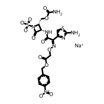 NC(=O)OC[C@@H]1[C@H](NC(=O)/C(=N\OCC(=O)OCc2ccc([N+](=O)[O-])cc2)c2csc(N)n2)C(=O)N1S(=O)(=O)[O-].[Na+]